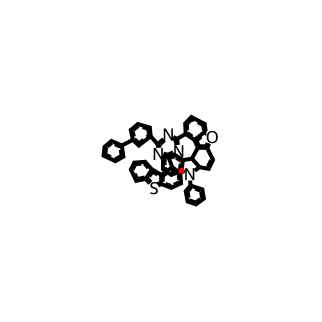 C1=CC2C(c3ccccc3N2c2ccccc2)c2c1oc1cccc(-c3nc(-c4cccc(-c5ccccc5)c4)nc(-c4cccc5sc6ccccc6c45)n3)c21